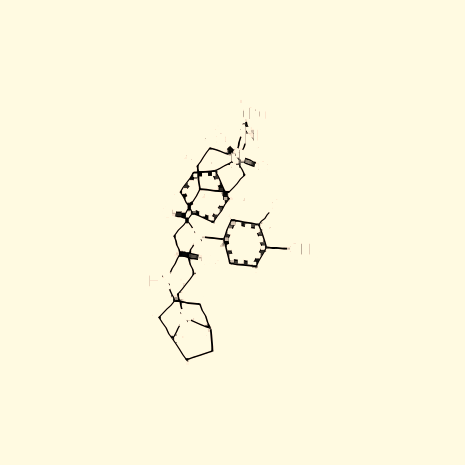 CC(=O)N1CCC(C(=O)N(CCCN2C3CCC2CC(NC(=O)Cc2ccc(S(=O)(=O)NC(C)(C)C)cc2)C3)c2ccc(C)c(Cl)c2)CC1